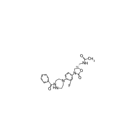 CC(=O)NC[C@H]1CN(c2ccc(N3CCNN(C(=O)c4ccccc4)CC3)c(F)c2)C(=O)O1